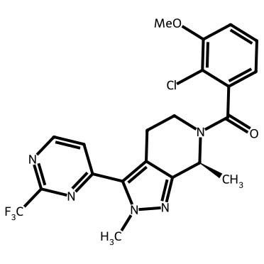 COc1cccc(C(=O)N2CCc3c(nn(C)c3-c3ccnc(C(F)(F)F)n3)[C@@H]2C)c1Cl